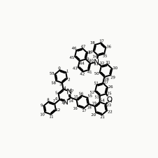 c1ccc(-c2cc(-c3ccccc3)nc(-c3ccc(-c4cccc5oc6cc(-c7cccc(N(c8ccccc8)c8cccc9ccccc89)c7)ccc6c45)cc3)n2)cc1